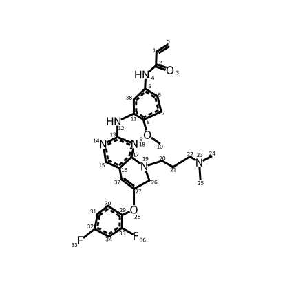 C=CC(=O)Nc1ccc(OC)c(Nc2ncc3c(n2)N(CCCN(C)C)CC(Oc2ccc(F)cc2F)=C3)c1